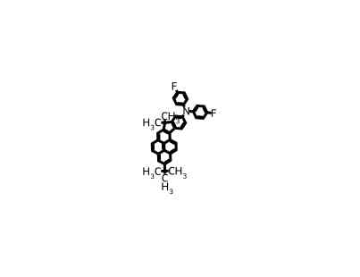 CC(C)(C)c1cc2ccc3cc4c(c5ccc(c1)c2c35)-c1ccc(N(c2ccc(F)cc2)c2ccc(F)cc2)cc1C4(C)C